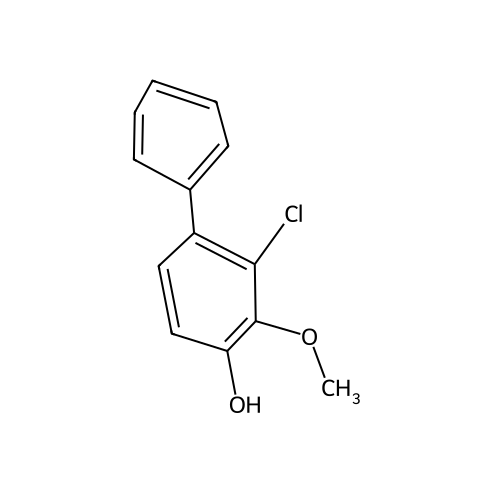 COc1c(O)ccc(-c2ccccc2)c1Cl